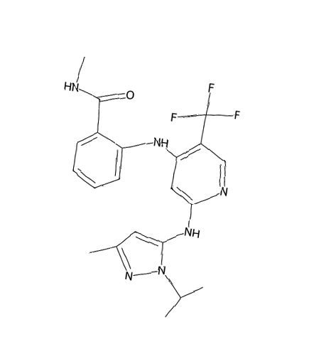 CNC(=O)c1ccccc1Nc1cc(Nc2cc(C)nn2C(C)C)ncc1C(F)(F)F